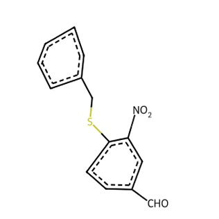 O=Cc1ccc(SCc2ccccc2)c([N+](=O)[O-])c1